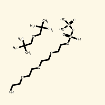 CC(C)(C)COCC(C)(C)C.O=P(O)(O)OP(=O)(O)OCCOCCOCCOCCO